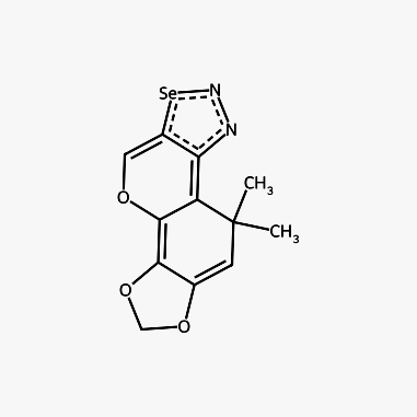 CC1(C)C=C2OCOC2=C2OC=c3[se]nnc3=C21